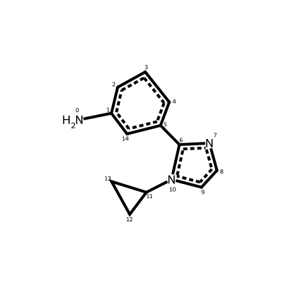 Nc1cccc(-c2nccn2C2CC2)c1